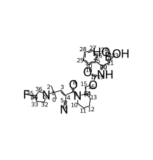 CC(C)(C=C(C#N)C(=O)N1CCCC[C@@H]1COC(=O)N[C@H](CB(O)O)c1ccccc1)N1CC[C@@H](F)C1